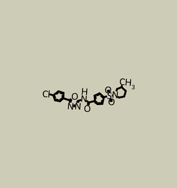 CC1CCCN(S(=O)(=O)c2ccc(C(=O)Nc3nnc(-c4ccc(Cl)cc4)o3)cc2)C1